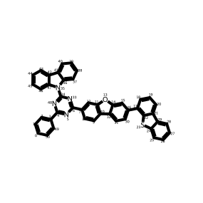 c1ccc(-c2nc(-c3ccc4c(c3)oc3cc(-c5cccc6c5sc5ccccc56)ccc34)nc(-n3c4ccccc4c4ccccc43)n2)cc1